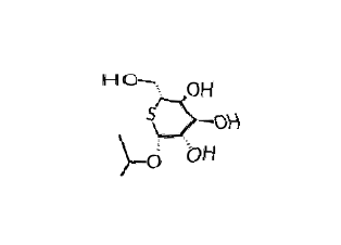 CC(C)O[C@@H]1S[C@H](CO)[C@@H](O)[C@@H](O)[C@@H]1O